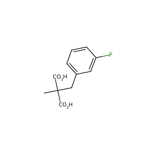 CC(Cc1cccc(F)c1)(C(=O)O)C(=O)O